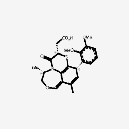 COc1cccc([C@@H]2C=C(C)C3=COC[C@H](C(C)(C)C)N4C(=O)[C@H](CC(=O)O)SC2=C34)c1OC